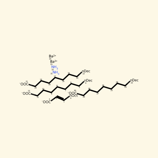 CCCCCCCCC=CC(=O)[O-].CCCCCCCCCCCCCCCCCC(=O)[O-].CCCCCCCCCCCCCCCCCC(=O)[O-].CCCCCCCCCCCCCCCCCC(=O)[O-].N.N.[Ba+2].[Ba+2]